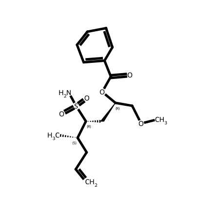 C=CC[C@H](C)[C@@H](C[C@H](COC)OC(=O)c1ccccc1)S(N)(=O)=O